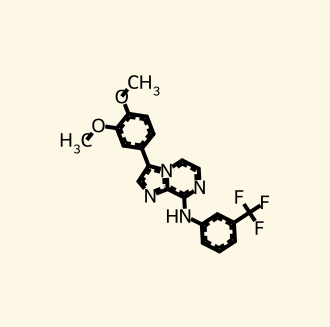 COc1ccc(-c2cnc3c(Nc4cccc(C(F)(F)F)c4)nccn23)cc1OC